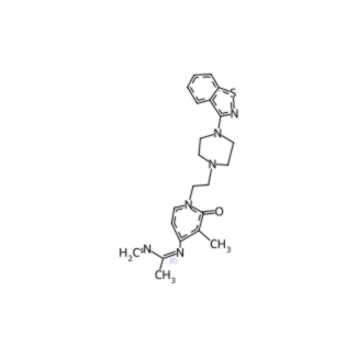 C=N/C(C)=N\c1ccn(CCN2CCN(c3nsc4ccccc34)CC2)c(=O)c1C